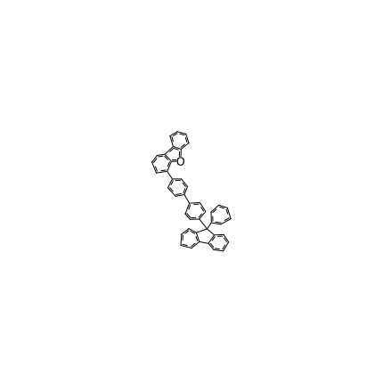 c1ccc(C2(c3ccc(-c4ccc(-c5cccc6c5oc5ccccc56)cc4)cc3)c3ccccc3-c3ccccc32)cc1